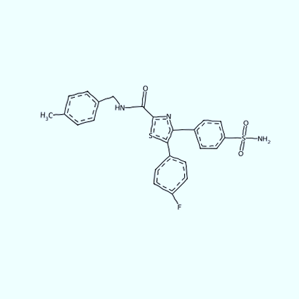 Cc1ccc(CNC(=O)c2nc(-c3ccc(S(N)(=O)=O)cc3)c(-c3ccc(F)cc3)s2)cc1